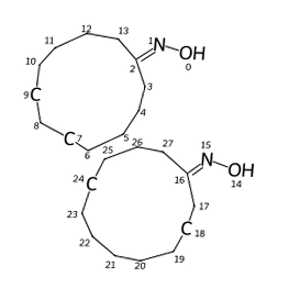 ON=C1CCCCCCCCCCC1.ON=C1CCCCCCCCCCC1